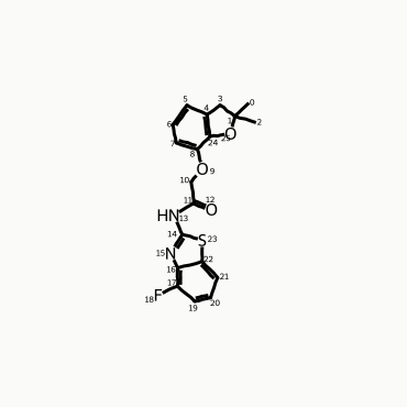 CC1(C)Cc2cccc(OCC(=O)Nc3nc4c(F)cccc4s3)c2O1